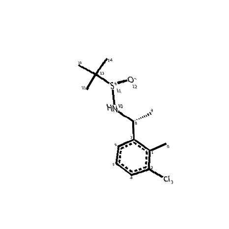 Cc1c(Cl)cccc1[C@@H](C)N[S+]([O-])C(C)(C)C